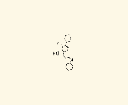 CN(C/C=C\c1ccc(C2CCCCC2)c(Cl)c1)C1CCCCC1.Cl